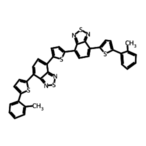 Cc1ccccc1-c1ccc(-c2ccc(-c3ccc(-c4ccc(-c5ccc(-c6ccccc6C)s5)c5nsnc45)s3)c3nsnc23)s1